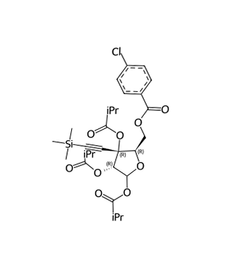 CC(C)C(=O)OC1O[C@H](COC(=O)c2ccc(Cl)cc2)[C@@](C#C[Si](C)(C)C)(OC(=O)C(C)C)[C@H]1OC(=O)C(C)C